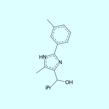 Cc1cccc(-c2nc(C(O)C(C)C)c(C)[nH]2)c1